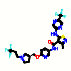 Cc1nsc(Nc2cnc(C(F)(F)F)cn2)c1C(=O)Nc1ccc(OC[C@@H]2CCN(CCC(F)(F)F)C2)nc1